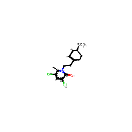 CCOC(=O)C1CCC(CCn2c(C)c(Cl)cc(Cl)c2=O)CC1